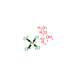 O.O.O.O.[Cl][Pt]([Cl])([Cl])[Cl]